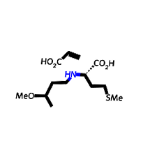 C=CC(=O)O.COC(C)CCN[C@@H](CCSC)C(=O)O